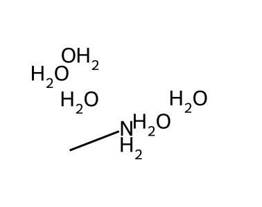 CN.O.O.O.O.O